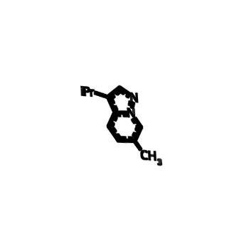 Cc1ccc2c(C(C)C)cnn2c1